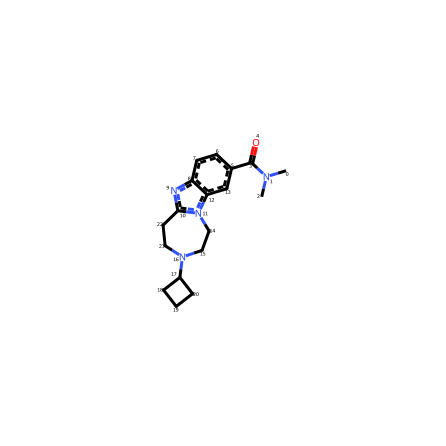 CN(C)C(=O)c1ccc2nc3n(c2c1)CCN(C1CCC1)CC3